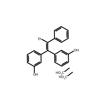 CC(=O)O.CC(=O)O.CCC(=C(c1cccc(O)c1)c1cccc(O)c1)c1ccccc1